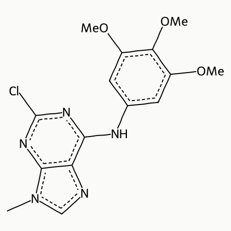 COc1cc(Nc2nc(Cl)nc3c2ncn3C)cc(OC)c1OC